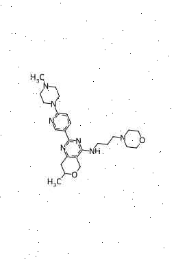 CC1Cc2nc(-c3ccc(N4CCN(C)CC4)nc3)nc(NCCCN3CCOCC3)c2CO1